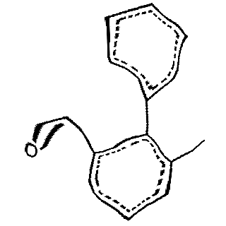 Cc1cccc(C=O)c1-c1ccccc1